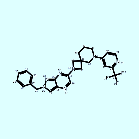 FC(F)(F)c1cc(N2CCCC3(C2)CN(c2cnc4cn(Cc5ccccc5)nc4n2)C3)ccn1